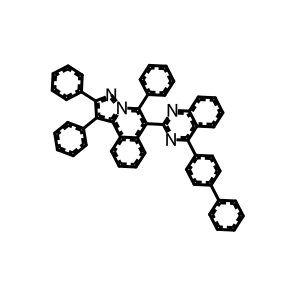 c1ccc(-c2ccc(-c3nc(-c4c(-c5ccccc5)n5nc(-c6ccccc6)c(-c6ccccc6)c5c5ccccc45)nc4ccccc34)cc2)cc1